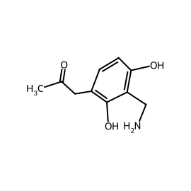 CC(=O)Cc1ccc(O)c(CN)c1O